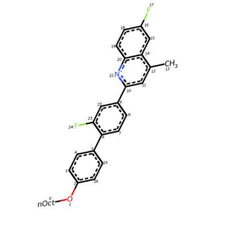 CCCCCCCCOc1ccc(-c2ccc(-c3cc(C)c4cc(F)ccc4n3)cc2F)cc1